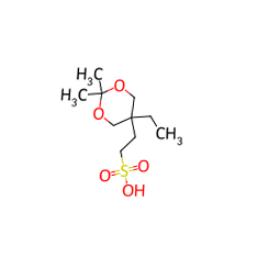 CCC1(CCS(=O)(=O)O)COC(C)(C)OC1